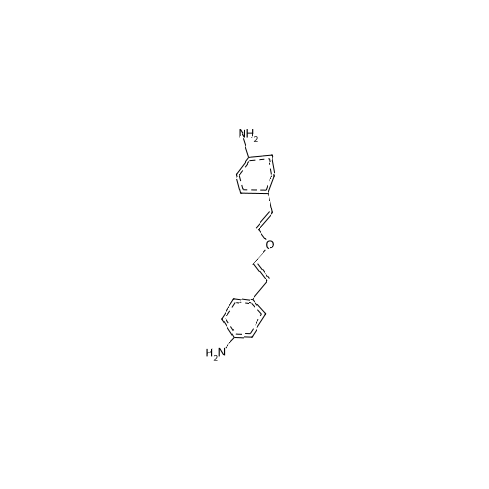 Nc1ccc(C=COC=Cc2ccc(N)cc2)cc1